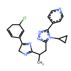 CC(Cc1nnc(-c2ccncc2)n1C1CC1)C1=NCC(C2=CC(Cl)CC=C2)=N1